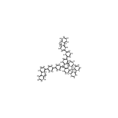 c1ccc(C2(c3ccccc3)c3ccccc3-c3c(N(c4ccc(-c5ccc(-c6cccc7c6sc6ccccc67)cc5)cc4)c4ccc(-c5cccc(-c6ccc7oc8ccccc8c7c6)c5)cc4)cccc32)cc1